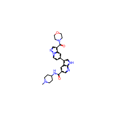 CN1CCC(NC(=O)c2cnc3[nH]cc(-c4ccn5ncc(C(=O)N6CCOCC6)c5c4)c3c2)CC1